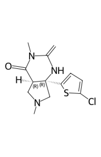 C=C1N[C@@]2(c3ccc(Cl)s3)CN(C)C[C@H]2C(=O)N1C